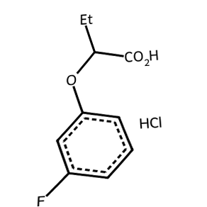 CCC(Oc1cccc(F)c1)C(=O)O.Cl